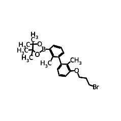 Cc1c(OCCCBr)cccc1-c1cccc(B2OC(C)(C)C(C)(C)O2)c1C